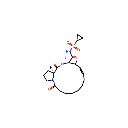 C[C@H]1/C=C\CCCCCCC(=O)N2CCC[C@H]2C(=O)N[C@@]1(I)C(=O)NS(=O)(=O)C1CC1